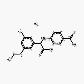 CCOc1cc(C)cc(C(Nc2ccc(C(=N)N)cc2)C(=O)O)c1.Cl